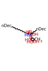 CCCCCCCCCCCCCCCCCCCCCCCCCC(=O)N[C@@H](CO[C@H]1CC(C)[C@H](O)[C@H](O)C1O)[C@H](O)[C@H](O)CCCCCCCCCCCCCC